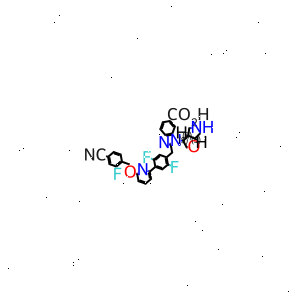 N#Cc1ccc(COc2cccc(-c3cc(F)c(Cc4nc5ccc(C(=O)O)cc5n4[C@@H]4CO[C@@H]5CNC[C@H]45)cc3F)n2)c(F)c1